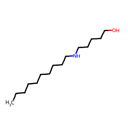 CCCCCCCCCCNCCCCCO